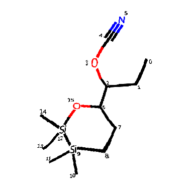 CCC(OC#N)C1CC[Si](C)(C)[Si](C)(C)O1